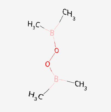 CB(C)OOB(C)C